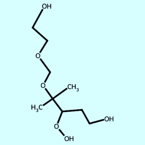 CC(C)(OCOCCO)C(CCO)OO